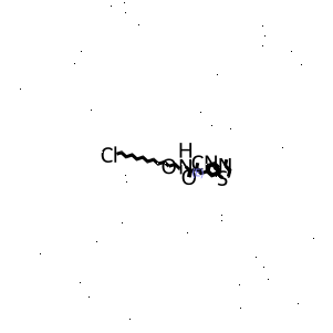 CN1CCSc2cc(/C=C(\C#N)C(=O)NCCOCCCCCCCCCCl)ccc21